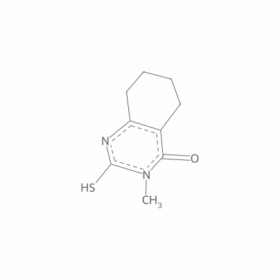 Cn1c(S)nc2c(c1=O)CCCC2